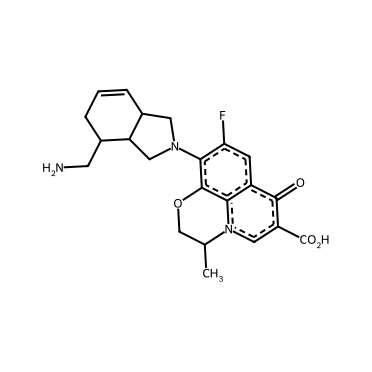 CC1COc2c(N3CC4C=CCC(CN)C4C3)c(F)cc3c(=O)c(C(=O)O)cn1c23